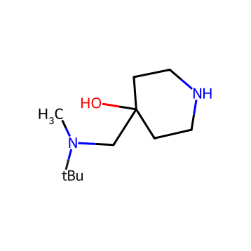 CN(CC1(O)CCNCC1)C(C)(C)C